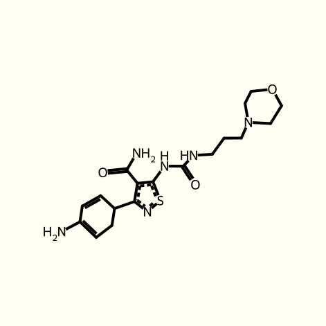 NC(=O)c1c(C2C=CC(N)=CC2)nsc1NC(=O)NCCCN1CCOCC1